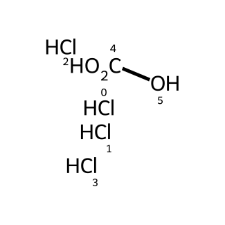 Cl.Cl.Cl.Cl.O=C(O)O